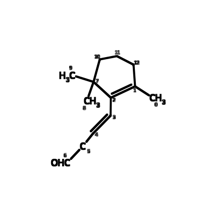 CC1=C(C=CCC=O)C(C)(C)CCC1